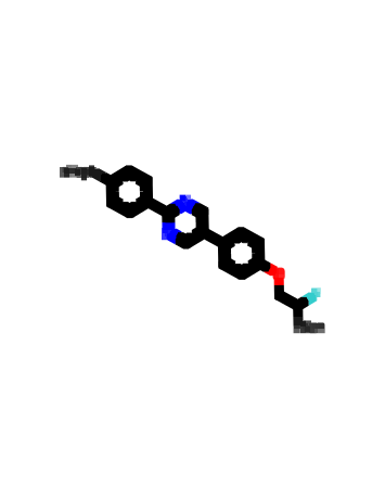 CCCCCCCCCC(F)COc1ccc(-c2cnc(-c3ccc(CCCCCCC)cc3)nc2)cc1